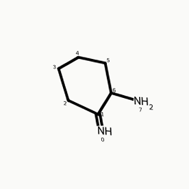 N=C1CCCCC1N